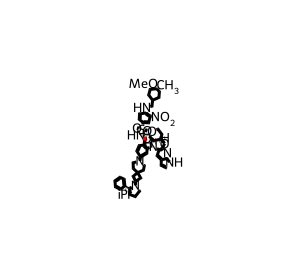 COC1(C)CCC(CNc2ccc(S(=O)(=O)NC(=O)c3ccc(N4CCC5(CC4)CC(N4CCC[C@H]4c4ccccc4C(C)C)C5)cc3N3c4cc5cc[nH]c5nc4O[C@H]4CCOC[C@H]43)cc2[N+](=O)[O-])CC1